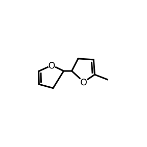 CC1=CCC(C2CC=CO2)O1